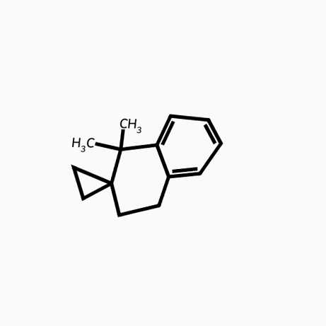 CC1(C)c2ccccc2CCC12CC2